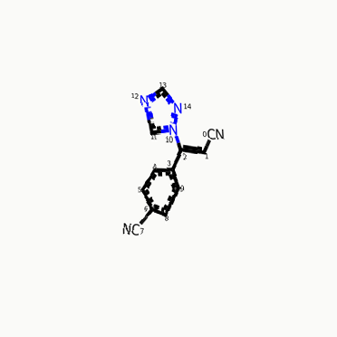 N#C/C=C(/c1ccc(C#N)cc1)n1cncn1